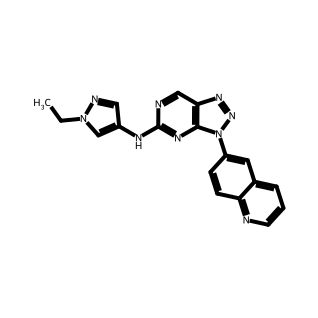 CCn1cc(Nc2ncc3nnn(-c4ccc5ncccc5c4)c3n2)cn1